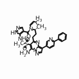 C/C=C\N(C(=O)c1cn[nH]c1N)[C@H](C)CCc1nc2c(-c3ccc(-c4ccccc4)nc3)cnn2c(N)c1S(C)(=O)=O